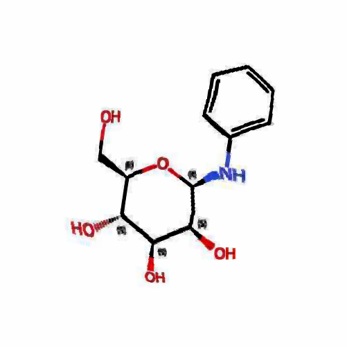 OC[C@H]1O[C@@H](Nc2ccccc2)[C@@H](O)[C@@H](O)[C@@H]1O